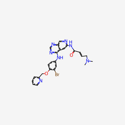 CN(C)CC=CC(=O)Nc1cc2c(Nc3ccc(OCc4ccccn4)c(Br)c3)ncnc2cn1